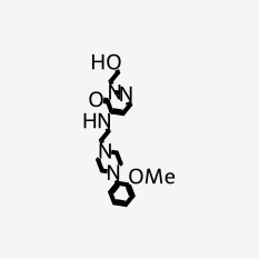 COc1ccccc1N1CCN(CCNc2ccnn(CCO)c2=O)CC1